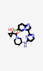 O=C(N1CCC[C@@H](Nc2ccnc(-c3cnc4ccc(F)cn34)n2)C1)C1(O)CC1